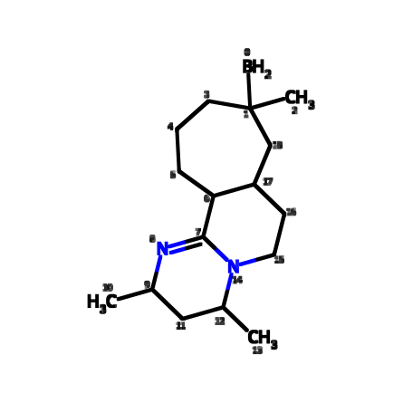 BC1(C)CCCC2C3=NC(C)CC(C)N3CCC2C1